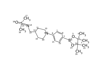 CC1(C)OB(c2ccc(N3CCC(CN=S(C)(C)=O)CC3)cc2)OC1(C)C